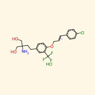 Cl.NC(CO)(CO)CCc1ccc(OC/C=C/c2ccc(Cl)cc2)c(C(F)(F)F)c1